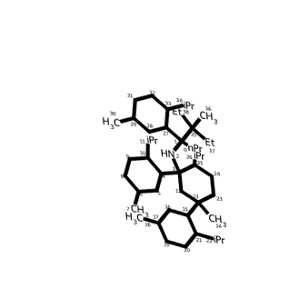 CCCC(NC1(C2CC(C)CCC2C(C)C)CC(C)(C2CC(C)CCC2C(C)C)CCC1C(C)C)(C1CC(C)CCC1C(C)C)C(C)(CC)CC